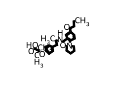 CCCC(=O)c1ccc(N2CCCCC2)c(C(=O)NC(C)Cc2ccc(OC(C)(C)C(=O)O)cc2)c1